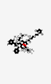 CC(=O)O[C@@H](C)C(=O)N(CC1CN(C(=O)OC(C)(C)C)CC1OC(=O)NCCOCCN1C(=O)C=CC1=O)C(c1nc(-c2cc(F)ccc2F)cn1Cc1ccccc1)C1CCOCC1